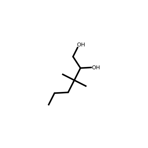 CCCC(C)(C)C(O)CO